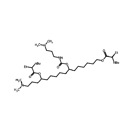 CCCCC(CC)C(=O)OCCCCCCC(CCCCCC(CCCN(C)C)OC(=O)C(CC)CCCC)OC(=O)NCCCN(C)C